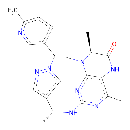 Cc1nc(N[C@H](C)c2cnn(Cc3ccc(C(F)(F)F)nc3)c2)nc2c1NC(=O)[C@H](C)N2C